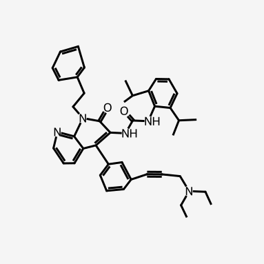 CCN(CC)CC#Cc1cccc(-c2c(NC(=O)Nc3c(C(C)C)cccc3C(C)C)c(=O)n(CCc3ccccc3)c3ncccc23)c1